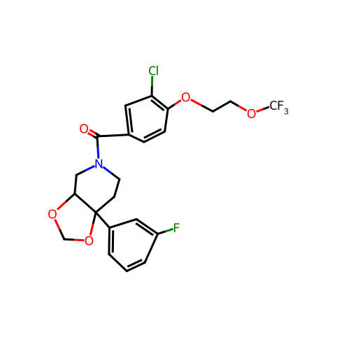 O=C(c1ccc(OCCOC(F)(F)F)c(Cl)c1)N1CCC2(c3cccc(F)c3)OCOC2C1